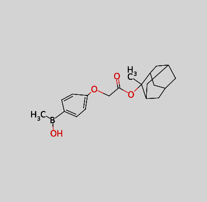 CB(O)c1ccc(OCC(=O)OC2(C)C3CC4CC(C3)CC2C4)cc1